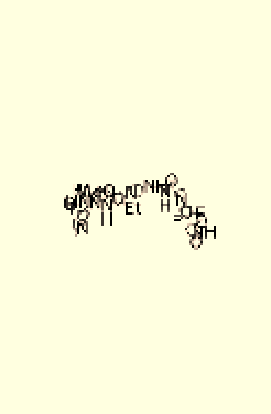 CCc1cc(Nc2ncc(Br)c(Nc3ccc4nc(C)ccc4c3P(C)(C)=O)n2)c(OC)cc1N1CCC(NCCNC(=O)[C@@H]2CCN(c3cc(F)c([C@H]4CCC(=O)NC4=O)c(F)c3)C2)CC1